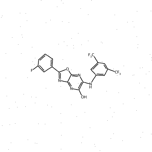 Oc1nc2nc(-c3cccc(F)c3)oc2nc1Nc1cc(C(F)(F)F)cc(C(F)(F)F)c1